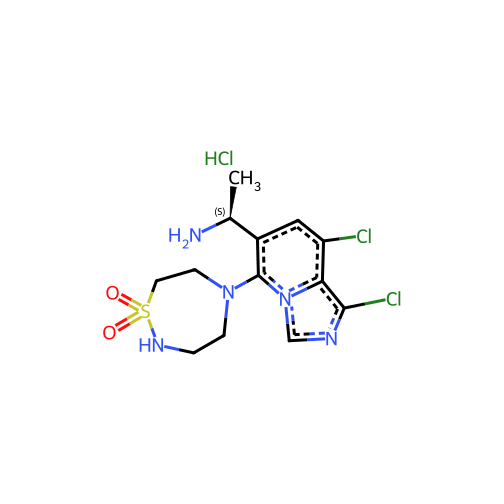 C[C@H](N)c1cc(Cl)c2c(Cl)ncn2c1N1CCNS(=O)(=O)CC1.Cl